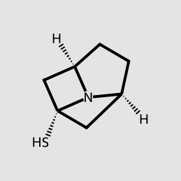 S[C@@]12C[C@H]3CC[C@@H](C1)N32